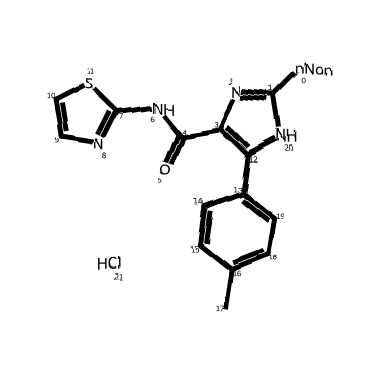 CCCCCCCCCc1nc(C(=O)Nc2nccs2)c(-c2ccc(C)cc2)[nH]1.Cl